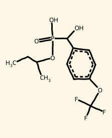 CCC(C)OP(=O)(O)C(O)c1ccc(OC(F)(F)F)cc1